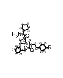 N[C@H](C(=O)N1CCC[C@H]1CN(CCc1ccc(F)cc1)C(=O)OCc1ccccc1)C1CCCCC1